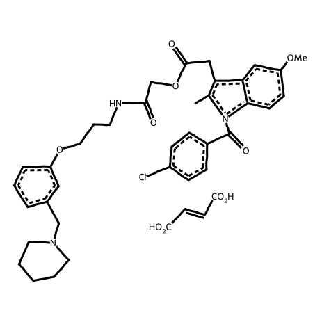 COc1ccc2c(c1)c(CC(=O)OCC(=O)NCCCOc1cccc(CN3CCCCC3)c1)c(C)n2C(=O)c1ccc(Cl)cc1.O=C(O)C=CC(=O)O